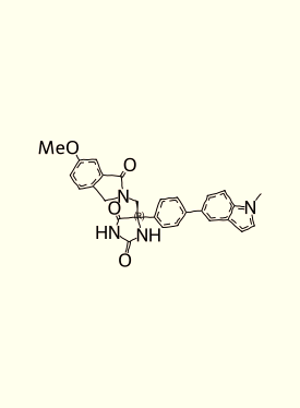 COc1ccc2c(c1)C(=O)N(C[C@@]1(c3ccc(-c4ccc5c(ccn5C)c4)cc3)NC(=O)NC1=O)C2